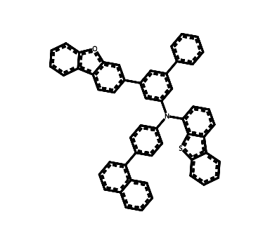 c1ccc(-c2cc(-c3ccc4c(c3)oc3ccccc34)cc(N(c3ccc(-c4cccc5ccccc45)cc3)c3cccc4c3sc3ccccc34)c2)cc1